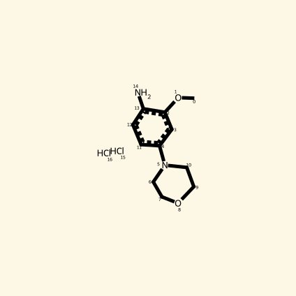 COc1cc(N2CCOCC2)ccc1N.Cl.Cl